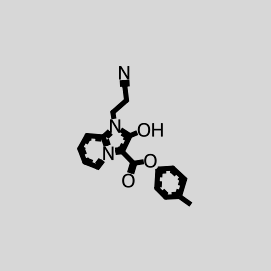 Cc1ccc(OC(=O)c2c(O)n(CCC#N)c3cccc[n+]23)cc1